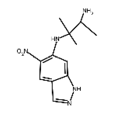 CC(N)C(C)(C)Nc1cc2[nH]ncc2cc1[N+](=O)[O-]